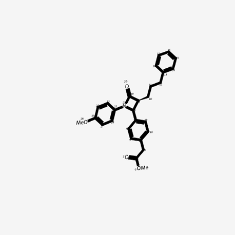 COC(=O)Cc1ccc(C2[C@H](CCCc3ccccc3)C(=O)N2c2ccc(OC)cc2)cc1